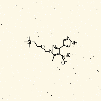 Cc1c([N+](=O)[O-])c(-c2cn[nH]c2)nn1COCC[Si](C)(C)C